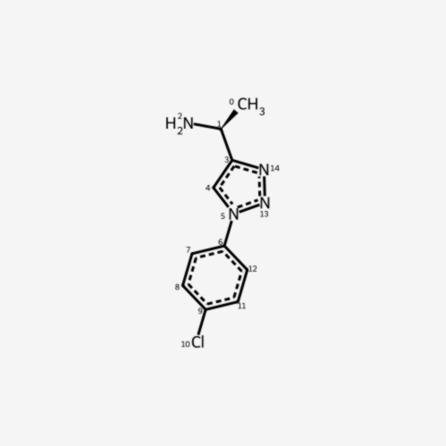 C[C@H](N)c1cn(-c2ccc(Cl)cc2)nn1